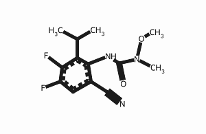 CON(C)C(=O)Nc1c(C#N)cc(F)c(F)c1C(C)C